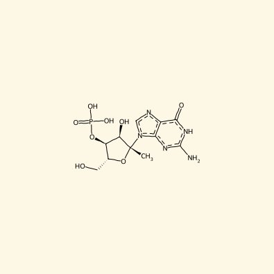 C[C@@]1(n2cnc3c(=O)[nH]c(N)nc32)O[C@H](CO)[C@@H](OP(=O)(O)O)[C@H]1O